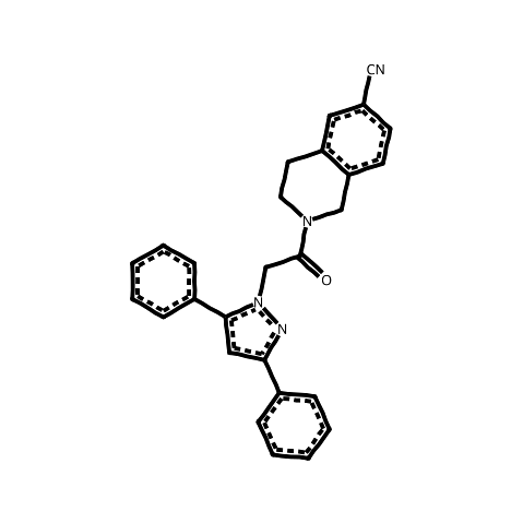 N#Cc1ccc2c(c1)CCN(C(=O)Cn1nc(-c3ccccc3)cc1-c1ccccc1)C2